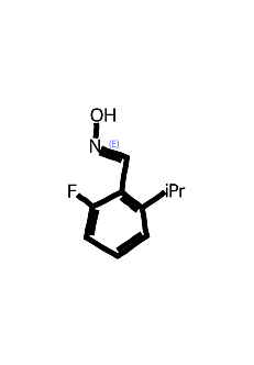 CC(C)c1cccc(F)c1/C=N/O